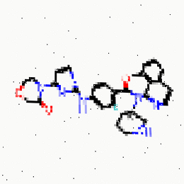 Cc1cccc2ccnc(N(C(=O)c3ccc(Nc4nccc(N5CCOCC5=O)n4)cc3F)[C@@H]3CCCNC3)c12